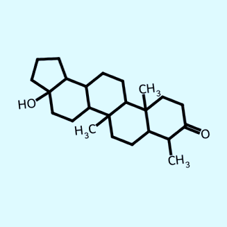 CC1C(=O)CCC2(C)C1CCC1(C)C3CCC4(O)CCCC4C3CCC21